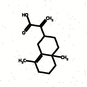 C=C(C(=O)O)C1CCC2(C)CCCC(C)=C2C1